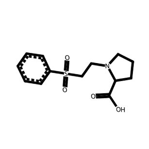 O=C(O)C1CCCN1CCS(=O)(=O)c1ccccc1